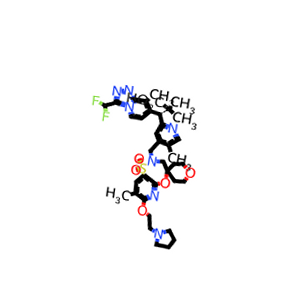 Cc1cnc([C@H](c2ccn3c(C(F)F)nnc3c2C)C(C)(C)C(=O)O)cc1CN1CC2(CCOCC2)Oc2nc(OCCN3CCCC3)c(C)cc2S1(=O)=O